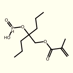 C=C(C)C(=O)OCC(CCC)(CCC)O[PH](=O)O